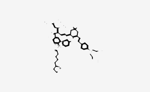 CC1(C)CC(/C=C/c2ccc(N(CCO)CCO)cc2)=C(Sc2ccc(C(C)(C)C)cc2)C(=C/C=C/C2=C(C#N)C(=C(C#N)C#N)OC2(c2ccc(OC(=O)CCCCC3CCSS3)cc2)C(F)(F)F)/C1